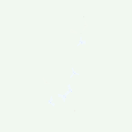 Cc1nc2c3c(c(N4CCC[C@@H](CNC(=O)OC(C)(C)C)C4)nn2c1Br)CCCO3